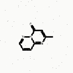 Cc1cc(=O)n2ncccc2n1